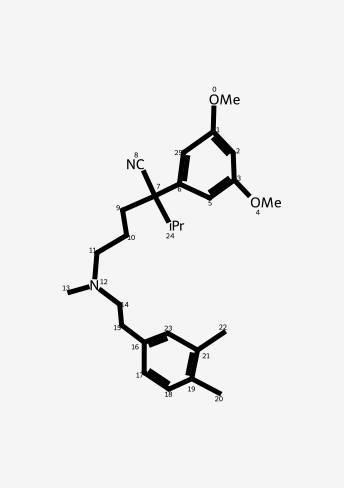 COc1cc(OC)cc(C(C#N)(CCCN(C)CCc2ccc(C)c(C)c2)C(C)C)c1